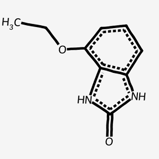 CCOc1cccc2[nH]c(=O)[nH]c12